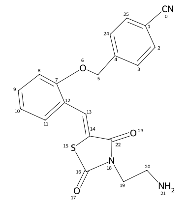 N#Cc1ccc(COc2ccccc2/C=C2\SC(=O)N(CCN)C2=O)cc1